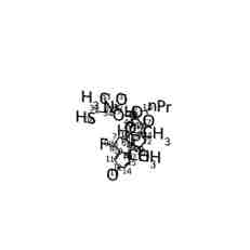 CCCC1O[C@@H]2CC3[C@@H]4C[C@H](F)C5=CC(=O)C=C[C@]5(C)[C@@]4(F)[C@@H](O)C[C@]3(C)[C@]2(C(=O)COC(=O)N(C)CCS)O1